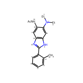 CCN(CC)c1cc2[nH]c(-c3ccccc3C)nc2cc1NC(C)=O